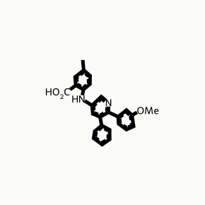 COc1cccc(-c2ncc(Nc3ccc(C)cc3C(=O)O)cc2-c2ccccc2)c1